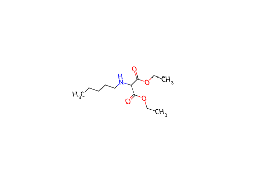 CCCCCNC(C(=O)OCC)C(=O)OCC